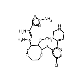 COC1C(Sc2cc(Cl)cnc2C2=CCNCC2)OCCOC[C@H]1N(N)/C=C(\N)c1csc(N)n1